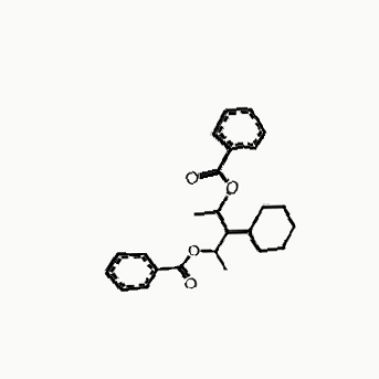 CC(OC(=O)c1ccccc1)C(C1CCCCC1)C(C)OC(=O)c1ccccc1